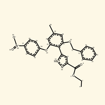 CCOC(=O)c1cc(-c2c(OCc3ccccc3)cc(C)cc2Oc2ccc([N+](=O)[O-])cc2)[nH]n1